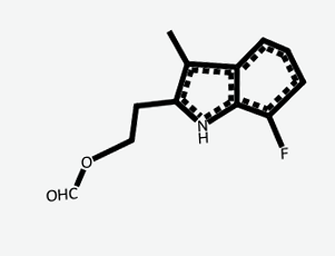 Cc1c(CCOC=O)[nH]c2c(F)cccc12